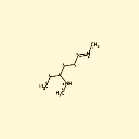 CCC(CC/C=N/C)NC